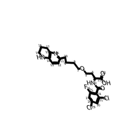 O=C(NC(CCOCCCCc1ccc2c(n1)CCCN2)C(=O)O)c1c(F)cc(Cl)cc1Cl